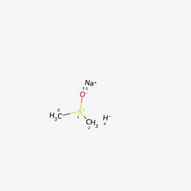 C[S+](C)[O-].[H-].[Na+]